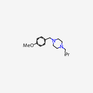 COc1ccc(CN2CCN(CC(C)C)CC2)cc1